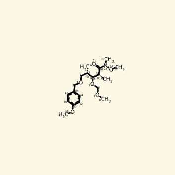 COCO[C@@H]([C@@H](C)COCc1ccc(OC)cc1)[C@@H](C)C(=O)N(C)OC